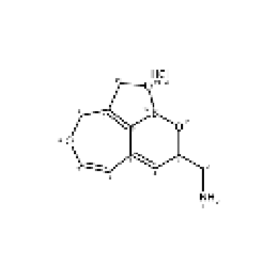 Cl.NCC1C=C2C=COCC3=C2B(OC3)O1